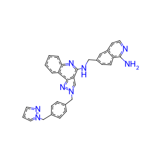 Nc1nccc2cc(CNc3nc4ccccc4c4nn(Cc5ccc(Cn6cccn6)cc5)cc34)ccc12